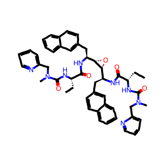 CC[C@H](NC(=O)N(C)Cc1ccccn1)C(=O)N[C@@H](Cc1ccc2ccccc2c1)[C@@H]1O[C@@H]1[C@H](Cc1ccc2ccccc2c1)NC(=O)[C@H](CC)NC(=O)N(C)Cc1ccccn1